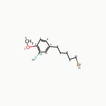 COc1ccc(CCCCCBr)cc1F